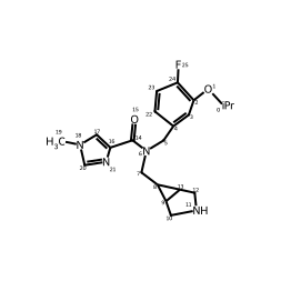 CC(C)Oc1cc(CN(CC2C3CNCC32)C(=O)c2cn(C)cn2)ccc1F